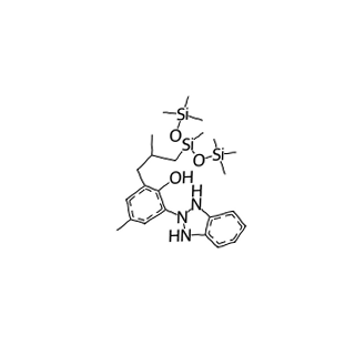 Cc1cc(CC(C)C[Si](C)(O[Si](C)(C)C)O[Si](C)(C)C)c(O)c(N2Nc3ccccc3N2)c1